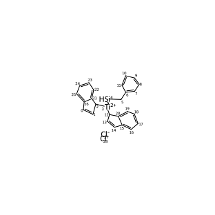 C1=C[CH]([Ti+2](=[SiH]Cc2ccccc2)[CH]2C=Cc3ccccc32)c2ccccc21.[Cl-].[Cl-]